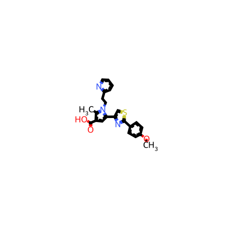 COc1ccc(-c2nc(-c3cc(C(=O)O)c(C)n3CCc3ccccn3)cs2)cc1